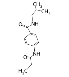 CCC(=O)Nc1ccc(C(=O)NCC(C)C)cc1